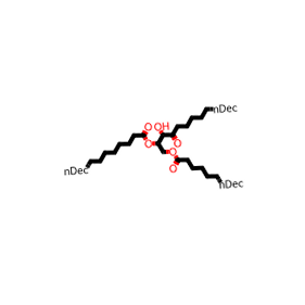 CCCCCCCCCCCCCCCCCC(=O)OC(COC(=O)CCCCCCCCCCCCCCC)C(O)C(=O)CCCCCCCCCCCCCCC